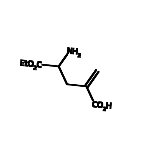 C=C(CC(N)C(=O)OCC)C(=O)O